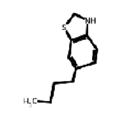 CCCCc1ccc2c(c1)SCN2